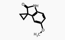 COc1ccc2c(c1)C1(CC1)C(=O)N2